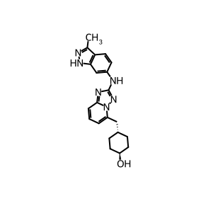 Cc1n[nH]c2cc(Nc3nc4cccc(C[C@H]5CC[C@H](O)CC5)n4n3)ccc12